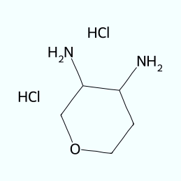 Cl.Cl.NC1CCOCC1N